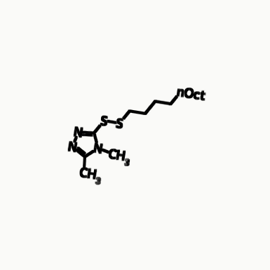 CCCCCCCCCCCCSSc1nnc(C)n1C